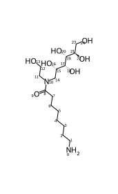 NCCCCCCCC(=O)N(CCO)C[C@H](O)[C@@H](O)[C@H](O)[C@H](O)CO